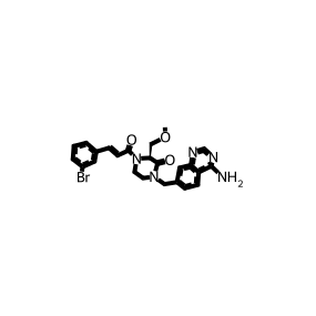 COC[C@H]1C(=O)N(Cc2ccc3c(N)ncnc3c2)CCN1C(=O)C=Cc1cccc(Br)c1